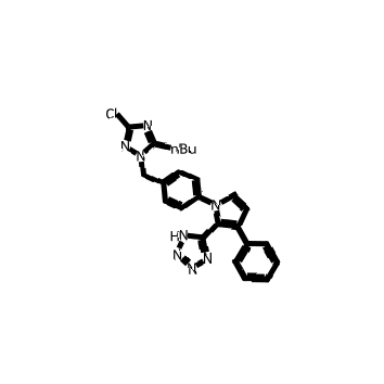 CCCCc1nc(Cl)nn1Cc1ccc(-n2ccc(-c3ccccc3)c2-c2nnn[nH]2)cc1